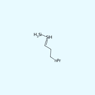 CCCCCC=[SiH][SiH3]